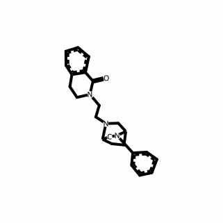 O=C1c2ccccc2CCN1CCN1CC2CCC1CN2c1ccccc1